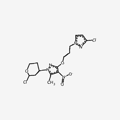 Cc1c([N+](=O)[O-])c(OCCCn2ccc(Cl)n2)nn1C1CCOC(Cl)C1